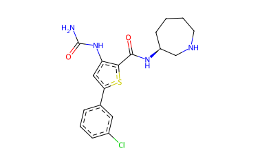 NC(=O)Nc1cc(-c2cccc(Cl)c2)sc1C(=O)N[C@H]1CCCCNC1